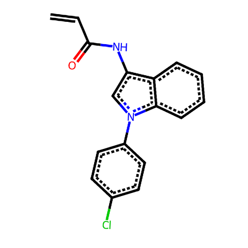 C=CC(=O)Nc1cn(-c2ccc(Cl)cc2)c2ccccc12